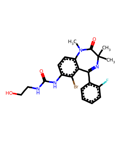 CN1C(=O)C(C)(C)N=C(c2ccccc2F)c2c1ccc(NC(=O)NCCO)c2Br